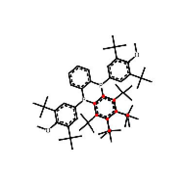 COc1c(C(C)(C)C)cc(P(c2cc(C(C)(C)C)c(OC)c(C(C)(C)C)c2)c2ccccc2P(c2cc(C(C)(C)C)c(OC)c(C(C)(C)C)c2)c2cc(C(C)(C)C)c(OC)c(C(C)(C)C)c2)cc1C(C)(C)C